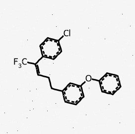 FC(F)(F)C(=CCCc1cccc(Oc2ccccc2)c1)c1ccc(Cl)cc1